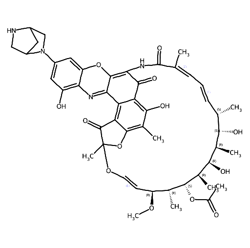 CO[C@H]1/C=C/OC2(C)Oc3c(C)c(O)c4c(=O)c(c5oc6cc(N7CC8CC7CN8)cc(O)c6nc-5c4c3C2=O)NC(=O)/C(C)=C\C=C\[C@H](C)[C@H](O)[C@@H](C)[C@@H](O)[C@@H](C)[C@H](OC(C)=O)[C@@H]1C